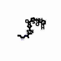 C=C/C=C\C=C(/C)c1cnc(C2CN(C(=O)c3ccc(NC(=O)C4CCCN4)s3)C2)s1